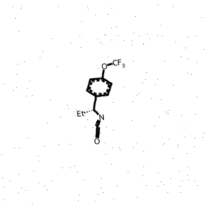 CC[C@@H](N=C=O)c1ccc(OC(F)(F)F)cc1